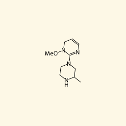 CON1CC=CN=C1N1CCNC(C)C1